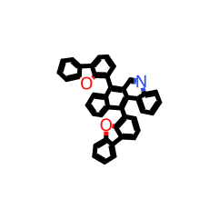 c1ccc2c(c1)ncc1c(-c3cccc4c3oc3ccccc34)c3ccccc3c(-c3cccc4c3oc3ccccc34)c12